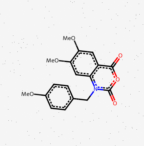 COc1ccc(Cn2c(=O)oc(=O)c3cc(OC)c(OC)cc32)cc1